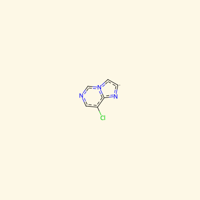 Clc1cncn2c[c]nc12